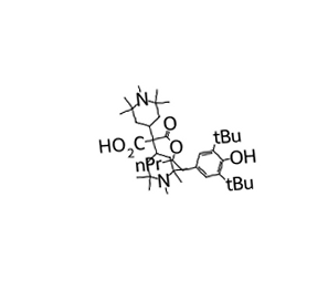 CCCC(Cc1cc(C(C)(C)C)c(O)c(C(C)(C)C)c1)OC(=O)C(C(=O)O)(C1CC(C)(C)N(C)C(C)(C)C1)C1CC(C)(C)N(C)C(C)(C)C1